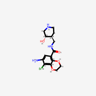 Nc1cc(C(=O)NC[C@@H]2CCNC[C@H]2O)c2c(c1Br)OCCO2